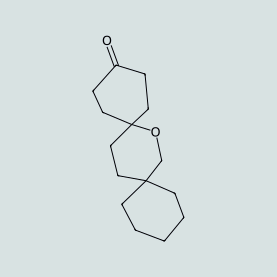 O=C1CCC2(CC1)CCC1(CCCCC1)CO2